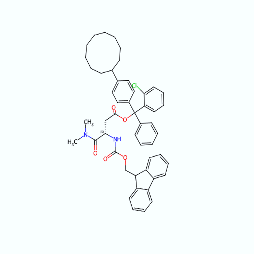 CN(C)C(=O)[C@H](CC(=O)OC(c1ccccc1)(c1ccc(C2CCCCCCCCC2)cc1)c1ccccc1Cl)NC(=O)OCC1c2ccccc2-c2ccccc21